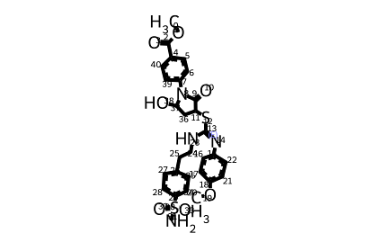 COC(=O)c1ccc(N2C(=O)C(S/C(=N/c3ccc(OC)cc3)NCCc3ccc(S(N)(=O)=O)cc3)CC2O)cc1